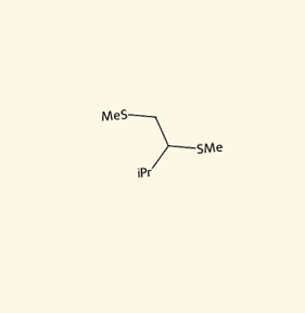 CSCC(SC)C(C)C